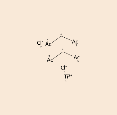 CC(=O)CC(C)=O.CC(=O)CC(C)=O.[Cl-].[Cl-].[Ti+2]